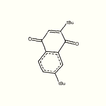 CC(C)(C)C1=CC(=O)c2ccc(C(C)(C)C)cc2C1=O